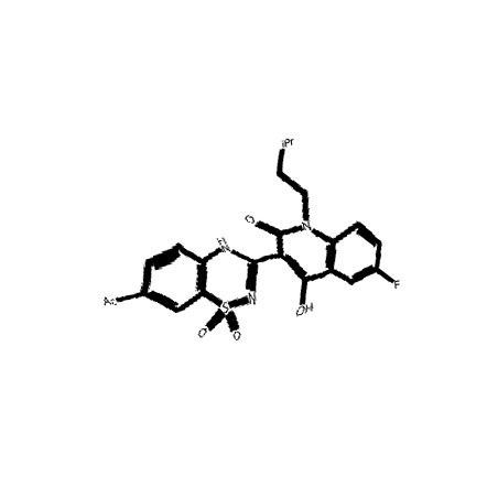 CC(=O)c1ccc2c(c1)S(=O)(=O)N=C(c1c(O)c3cc(F)ccc3n(CCC(C)C)c1=O)N2